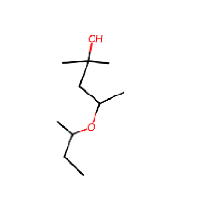 CCC(C)OC(C)CC(C)(C)O